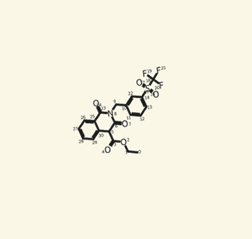 CCOC(=O)C1C(=O)N(Cc2cccc(S(=O)(=O)C(F)(F)F)c2)C(=O)c2ccccc21